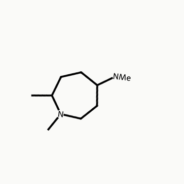 CNC1CCC(C)N(C)CC1